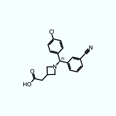 N#Cc1cccc([C@H](c2ccc(Cl)cc2)N2CC(CC(=O)O)C2)c1